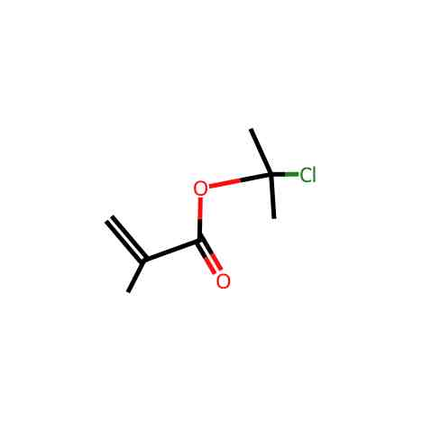 C=C(C)C(=O)OC(C)(C)Cl